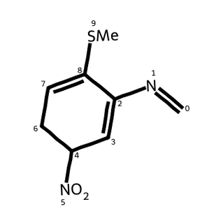 C=NC1=CC([N+](=O)[O-])CC=C1SC